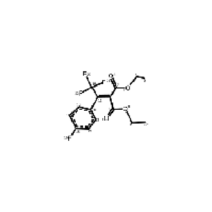 CCOC(=O)C(C(=O)OCC)=C(c1ccc(F)cc1)C(F)(F)F